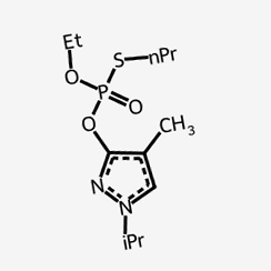 CCCSP(=O)(OCC)Oc1nn(C(C)C)cc1C